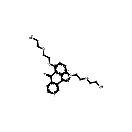 O=C1c2ccncc2-c2nn(CCNCCO)c3ccc(NCCNCCO)c1c23